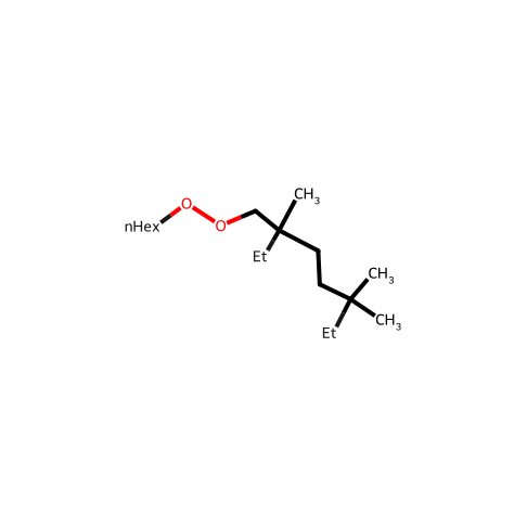 CCCCCCOOCC(C)(CC)CCC(C)(C)CC